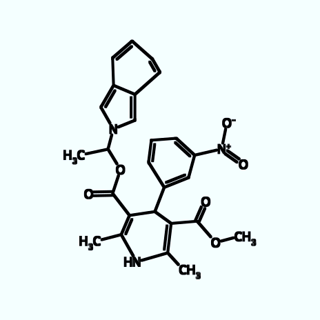 COC(=O)C1=C(C)NC(C)=C(C(=O)OC(C)n2cc3ccccc3c2)C1c1cccc([N+](=O)[O-])c1